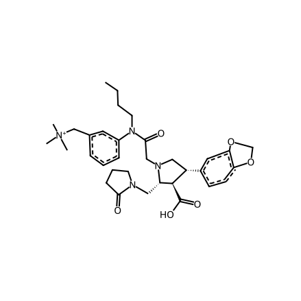 CCCCN(C(=O)CN1C[C@H](c2ccc3c(c2)OCO3)[C@@H](C(=O)O)[C@@H]1CN1CCCC1=O)c1cccc(C[N+](C)(C)C)c1